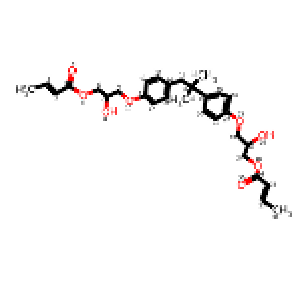 CC=CC(=O)OCC(O)COc1ccc(CC(C)(C)c2ccc(OCC(O)COC(=O)C=CC)cc2)cc1